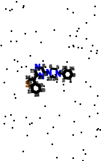 c1ccc(N2CCN(c3cncc(-c4csc5ccccc45)n3)CC2)cc1